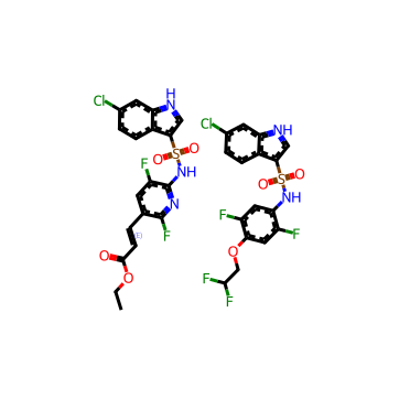 CCOC(=O)/C=C/c1cc(F)c(NS(=O)(=O)c2c[nH]c3cc(Cl)ccc23)nc1F.O=S(=O)(Nc1cc(F)c(OCC(F)F)cc1F)c1c[nH]c2cc(Cl)ccc12